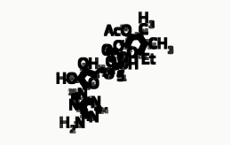 CCC1O[C@@H](OP(=O)(O)OP(O)(=S)OC[C@H]2O[C@@H](n3cnc4c(N)ncnc43)[C@@H](O)C2O)C(OC(C)=O)[C@@H](C)[C@@H]1C